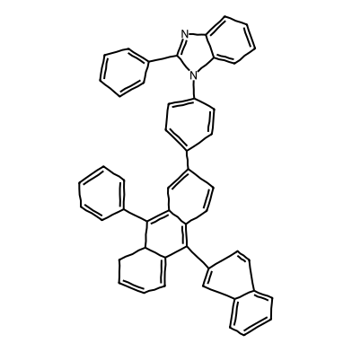 C1=CCC2C(=C1)C(c1ccc3ccccc3c1)=c1ccc(-c3ccc(-n4c(-c5ccccc5)nc5ccccc54)cc3)cc1=C2c1ccccc1